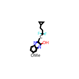 COc1ccc2nc(CCC(F)(F)CCC3CC3)c(O)nc2c1